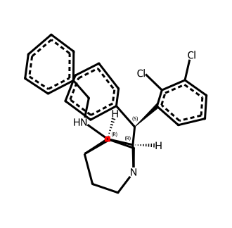 Clc1cccc([C@H](c2ccccc2)[C@@H]2[C@H](NCc3ccccc3)C3CCN2CC3)c1Cl